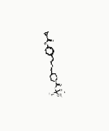 CC(C)(C)OC(=O)N1CCC(CCCCc2ccc(NC(=O)C3CC3)cc2)CC1